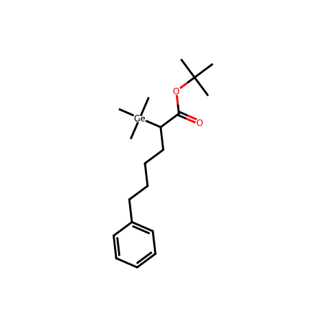 CC(C)(C)OC(=O)[CH](CCCCc1ccccc1)[Ge]([CH3])([CH3])[CH3]